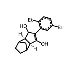 CCc1ccc(Br)cc1C1=C(O)[C@H]2C3CCC(C3)[C@H]2C1O